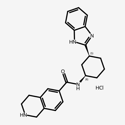 Cl.O=C(N[C@@H]1CCC[C@H](c2nc3ccccc3[nH]2)C1)c1ccc2c(c1)CCNC2